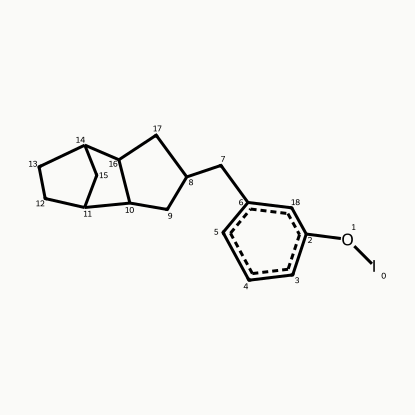 IOc1cccc(CC2CC3C4CCC(C4)C3C2)c1